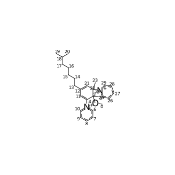 COC1(C)C([n+]2ccccc2)=CC(CCCCCC(C)C)=CC1(C)[n+]1ccccc1